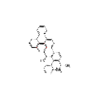 Cc1ccccc1-c1c(C(C)C)ccc(-c2ccc3c4ccccc4c4ccccc4c3c2)c1C(=N)c1ccccc1